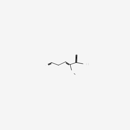 C=CCC=C(OC)C(=O)O